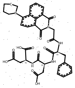 O=C(O)C[C@H](NC(=O)[C@H](CC(=O)O)NC(=O)[C@H](Cc1ccccc1)NC(=O)CN1C(=O)c2cccc3c(N4CCCCC4)ccc(c23)C1=O)C(=O)O